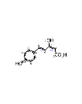 O=C(O)/C=C(O)\C=C\c1ccc(O)cc1